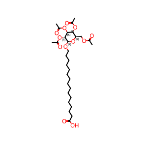 CC(=O)OC[C@H]1O[C@@H](OCCCCCCCCCCCCCCCC(=O)O)[C@H](OC(C)=O)[C@@H](OC(C)=O)[C@@H]1OC(C)=O